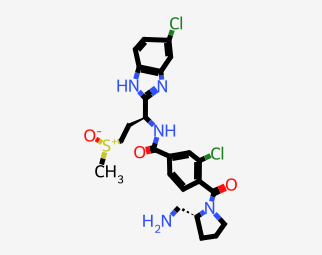 C[S+]([O-])CC[C@H](NC(=O)c1ccc(C(=O)N2CCC[C@@H]2CN)c(Cl)c1)c1nc2cc(Cl)ccc2[nH]1